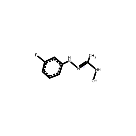 C/C(=N\Nc1cccc(F)c1)NO